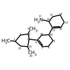 CC1CC(C)C(C2=CCCC(C3=CCCCC3N)C2)C(C)C1